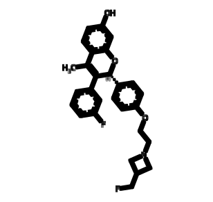 CC1=C(c2cccc(F)c2)[C@@H](c2ccc(OCCN3CC(CF)C3)cc2)Oc2cc(O)ccc21